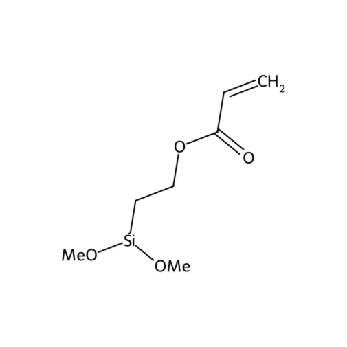 C=CC(=O)OCC[Si](OC)OC